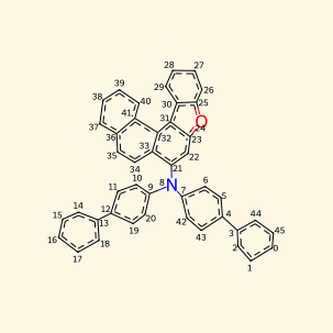 c1ccc(-c2ccc(N(c3ccc(-c4ccccc4)cc3)c3cc4oc5ccccc5c4c4c3ccc3ccccc34)cc2)cc1